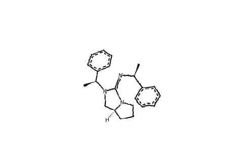 C[C@H](N=C1N2CCC[C@H]2CN1[C@@H](C)c1ccccc1)c1ccccc1